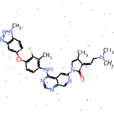 Cc1c(Nc2ncnc3cnc(N4CC(C)/C(=C\CN(C)C)C4=O)cc23)ccc(Oc2ccc3c(c2)nnn3C)c1F